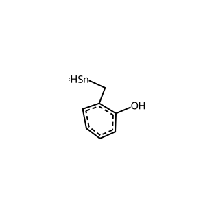 Oc1ccccc1[CH2][SnH]